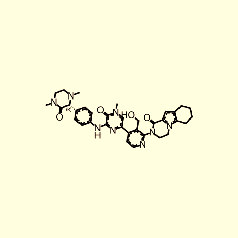 CN1CCN(C)[C@H](c2ccc(Nc3nc(-c4ccnc(N5CCn6c(cc7c6CCCC7)C5=O)c4CO)cn(C)c3=O)cc2)C1=O